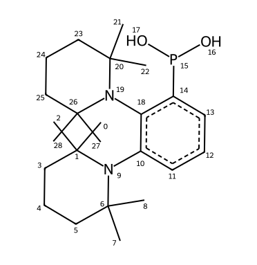 CC1(C)CCCC(C)(C)N1c1cccc(P(O)O)c1N1C(C)(C)CCCC1(C)C